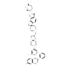 COC1=CC(N2CCC3(CC2)CC(CN2CCC4(CC2)COc2c4ccc4c2CN([C@H]2CCC(=O)NC2=O)C4=O)CO3)=CCC1[C@H]1c2ccc(O)cc2CC[C@H]1c1ccccc1